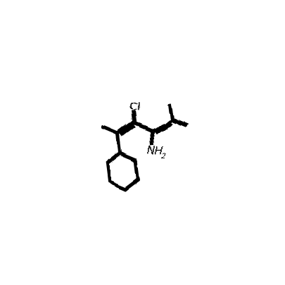 CC(C)=C(N)/C(Cl)=C(/C)C1CCCCC1